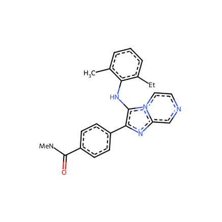 CCc1cccc(C)c1Nc1c(-c2ccc(C(=O)NC)cc2)nc2cnccn12